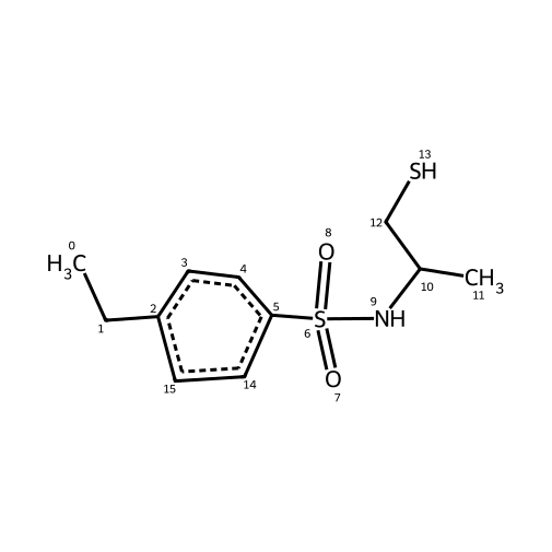 CCc1ccc(S(=O)(=O)NC(C)CS)cc1